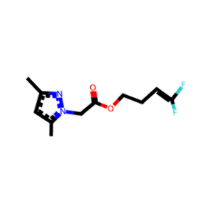 Cc1cc(C)n(CC(=O)OCCC=C(F)F)n1